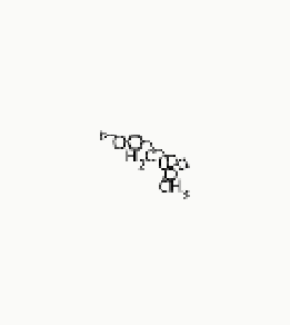 C=C(CCCC1(C(=O)OCC)CCC1)Cc1ccc(OCC2CC2)cc1